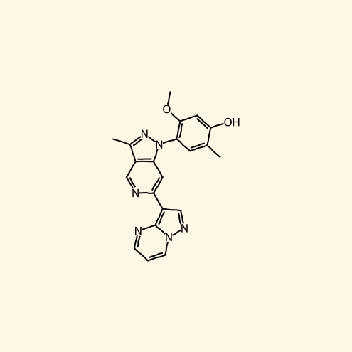 COc1cc(O)c(C)cc1-n1nc(C)c2cnc(-c3cnn4cccnc34)cc21